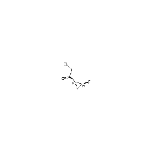 O=C(CCl)[C@@H]1C[C@@H]1F